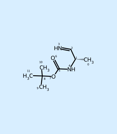 C[C@@H](C=N)NC(=O)OC(C)(C)C